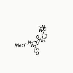 COCCN(C)c1cc(C(=O)Nc2cccc(-c3nc(C)no3)c2)nc(N2CCOCC2)n1